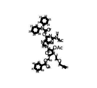 C#CCOCC[C@H]1[C@@H](OC(C)=O)[C@H](n2cnc3c(OC(=O)N(c4ccccc4)c4ccccc4)nc(N(C)C(C)=O)nc32)O[C@@H]1COC(=O)c1ccccc1